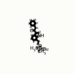 CC(C)(C)[Si](C)(C)OCCc1cccc2c(C(=O)Cc3ccccc3)c[nH]c12